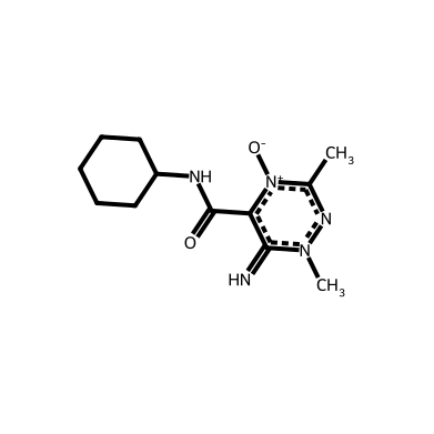 Cc1nn(C)c(=N)c(C(=O)NC2CCCCC2)[n+]1[O-]